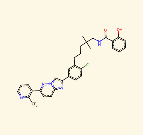 CC(C)(CCCc1cc(-c2cn3nc(-c4cccnc4C(F)(F)F)ccc3n2)ccc1Cl)CNC(=O)c1ccccc1O